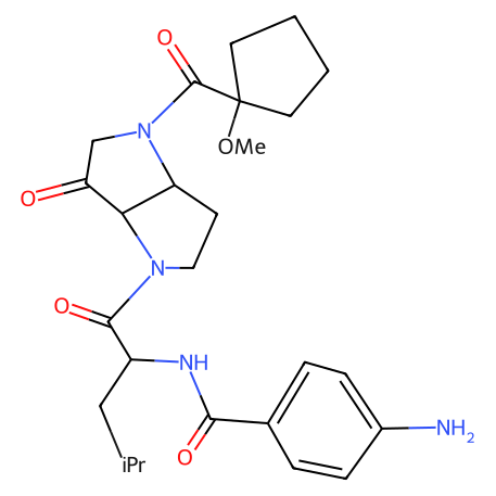 COC1(C(=O)N2CC(=O)C3C2CCN3C(=O)C(CC(C)C)NC(=O)c2ccc(N)cc2)CCCC1